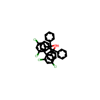 OC(c1ccccc1)(c1ccccc1)c1cc(Cl)cc(Cl)c1-c1c(Cl)cc(Cl)cc1C(O)(c1ccccc1)c1ccccc1